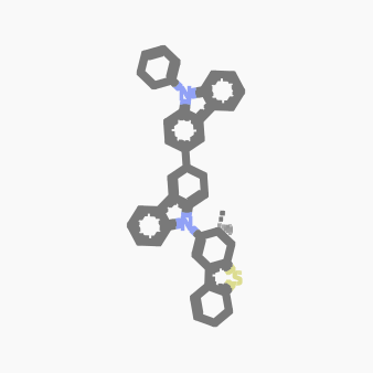 C[C@@H]1Cc2sc3c(c2C=C1n1c2c(c4ccccc41)=CC(c1ccc4c(c1)c1ccccc1n4C1=CC=CCC1)CC=2)C=CCC3